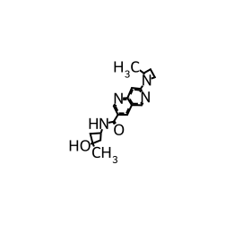 CC1CCN1c1cc2ncc(C(=O)NC3CC(C)(O)C3)cc2cn1